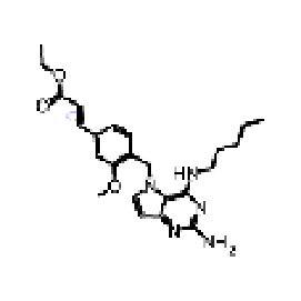 CCCCCNc1nc(N)nc2ccn(Cc3ccc(/C=C/C(=O)OCC)cc3OC)c12